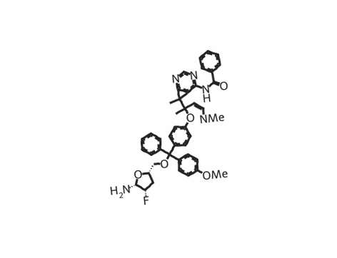 CN/C=C\C(C)(Oc1ccc(C(OC[C@@H]2C[C@H](F)[C@H](N)O2)(c2ccccc2)c2ccc(OC)cc2)cc1)C1(C)c2ncnc(NC(=O)c3ccccc3)c21